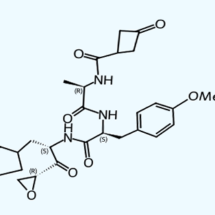 COc1ccc(C[C@H](NC(=O)[C@@H](C)NC(=O)C2CC(=O)C2)C(=O)N[C@@H](CC2CCCC2)C(=O)[C@H]2CO2)cc1